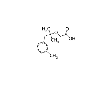 Cc1cccc(CC(C)(C)OCC(=O)O)c1